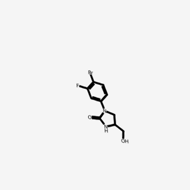 O=C1NC(CO)CN1c1ccc(Br)c(F)c1